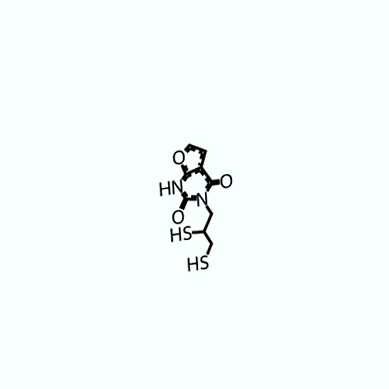 O=c1[nH]c2occc2c(=O)n1CC(S)CS